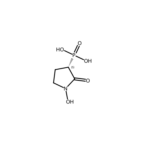 O=C1[C@@H](P(=O)(O)O)CCN1O